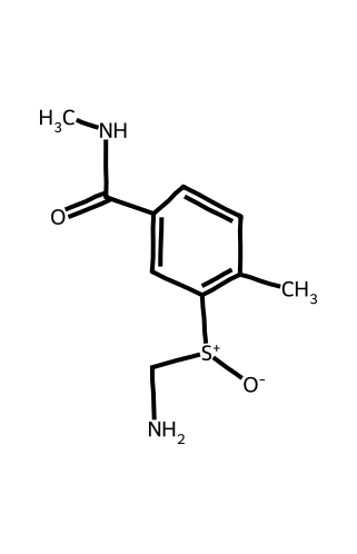 CNC(=O)c1ccc(C)c([S+]([O-])CN)c1